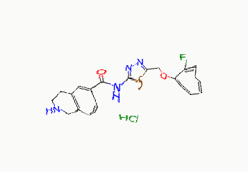 Cl.O=C(Nc1nnc(COc2ccccc2F)s1)c1ccc2c(c1)CCNC2